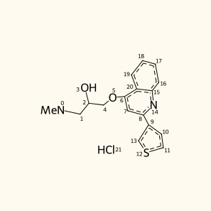 CNCC(O)COc1cc(-c2ccsc2)nc2ccccc12.Cl